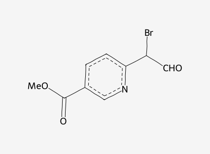 COC(=O)c1ccc(C(Br)C=O)nc1